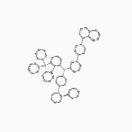 c1ccc(-c2ccccc2-c2ccc(N(c3cccc(-c4ccc(-c5cccc6ccccc56)cc4)c3)c3cccc4c3-c3ccccc3C4(c3ccccc3)c3ccccc3)cc2)cc1